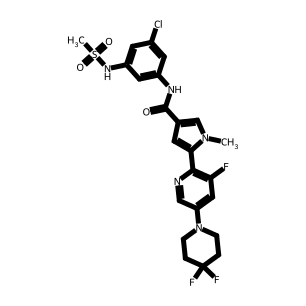 Cn1cc(C(=O)Nc2cc(Cl)cc(NS(C)(=O)=O)c2)cc1-c1ncc(N2CCC(F)(F)CC2)cc1F